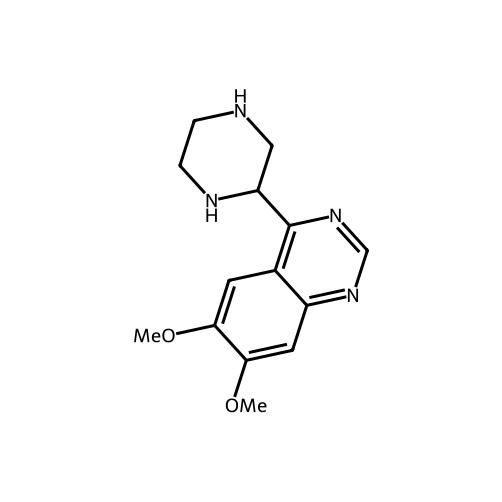 COc1cc2ncnc(C3CNCCN3)c2cc1OC